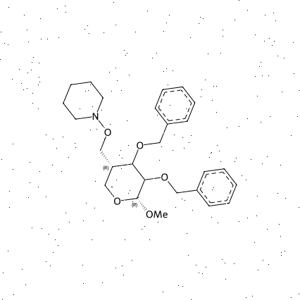 CO[C@@H]1OC[C@H](CON2CCCCC2)C(OCc2ccccc2)C1OCc1ccccc1